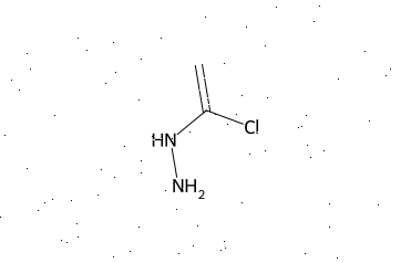 C=C(Cl)NN